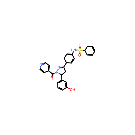 O=C(c1ccncc1)N1N=C(C2C=CC(NS(=O)(=O)C3C=CC=CC3)=CC2)CC1c1cccc(O)c1